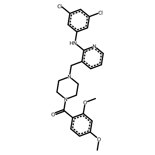 COc1ccc(C(=O)N2CCN(Cc3cccnc3Nc3cc(Cl)cc(Cl)c3)CC2)c(OC)c1